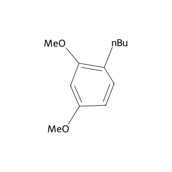 CCCCc1ccc(OC)cc1OC